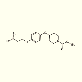 CCN(CC)CCOc1ccc(OC2CCN(C(=O)OC(C)(C)C)CC2)cc1